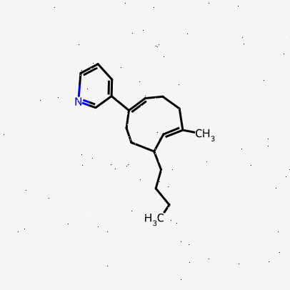 CCCCC1/C=C(\C)CC/C=C(/c2cccnc2)CC1